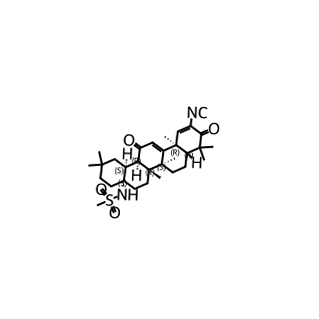 [C-]#[N+]C1=C[C@]2(C)C3=CC(=O)[C@@H]4[C@@H]5CC(C)(C)CC[C@]5(NS(C)(=O)=O)CC[C@@]4(C)[C@]3(C)CC[C@H]2C(C)(C)C1=O